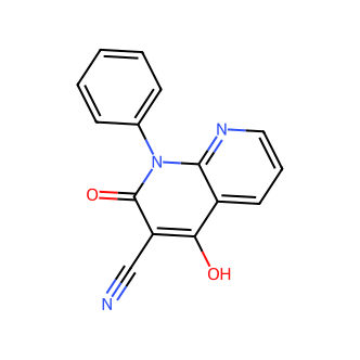 N#Cc1c(O)c2cccnc2n(-c2ccccc2)c1=O